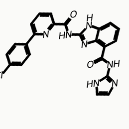 O=C(Nc1nc2c(C(=O)Nc3ncc[nH]3)cccc2[nH]1)c1cccc(-c2ccc(Cl)cc2)n1